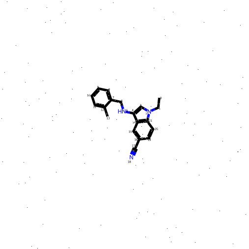 CCn1cc(NCc2ccccc2C)c2cc(C#N)ccc21